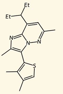 CCC(CC)c1cc(C)nn2c(-c3scc(C)c3C)c(C)nc12